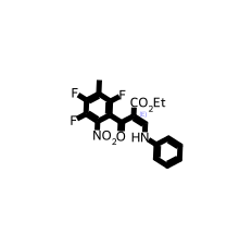 CCOC(=O)/C(=C/Nc1ccccc1)C(=O)c1c(F)c(C)c(F)c(F)c1[N+](=O)[O-]